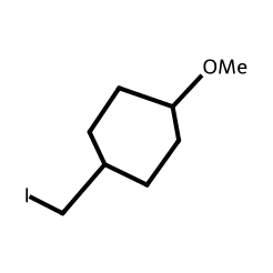 COC1CCC(CI)CC1